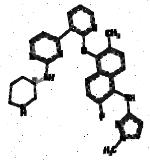 Cc1ccc2c(Nc3ccn(C)n3)c(F)ccc2c1Oc1ncccc1-c1ccnc(N[C@H]2CCCNC2)n1